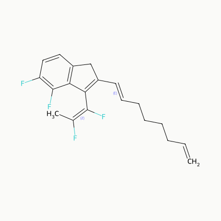 C=CCCCC/C=C/C1=C(C(/F)=C(\C)F)c2c(ccc(F)c2F)C1